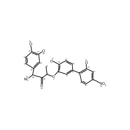 CC(Oc1cc(-c2ccc([N+](=O)[O-])cc2Cl)ccc1Cl)C(=O)C(C#N)c1ccc(Cl)c(Cl)c1